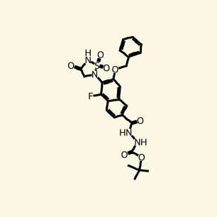 CC(C)(C)OC(=O)NNC(=O)c1ccc2c(F)c(N3CC(=O)NS3(=O)=O)c(OCc3ccccc3)cc2c1